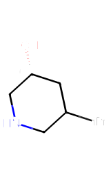 CC(C)C1CNC[C@H](O)C1